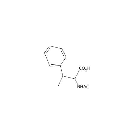 CC(=O)NC(C(=O)O)C(C)c1ccccc1